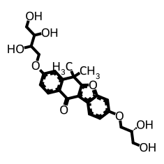 CC1(C)c2cc(OCC(O)C(O)CO)ccc2C(=O)c2c1oc1cc(OC[C@H](O)CO)ccc21